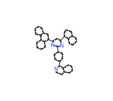 c1ccc2c(-c3cc(-c4cc5ccccc5c5ccccc45)nc(-c4ccc(-c5nccc6ccccc56)cc4)n3)cccc2c1